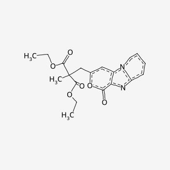 CCOC(=O)C(C)(Cc1cc2c(nc3ccccn32)c(=O)o1)C(=O)OCC